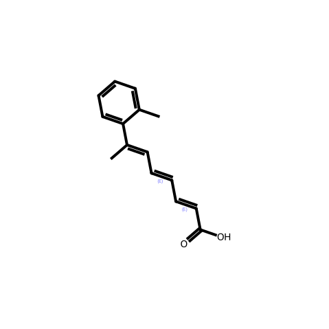 CC(=C/C=C/C=C/C(=O)O)c1ccccc1C